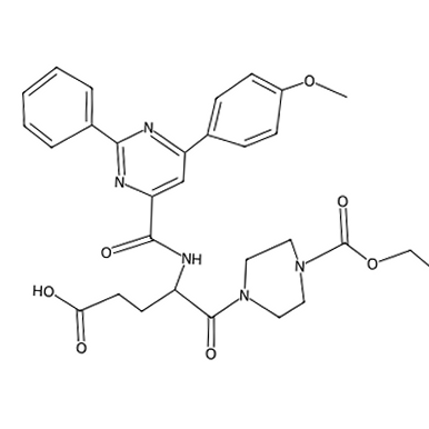 CCOC(=O)N1CCN(C(=O)C(CCC(=O)O)NC(=O)c2cc(-c3ccc(OC)cc3)nc(-c3ccccc3)n2)CC1